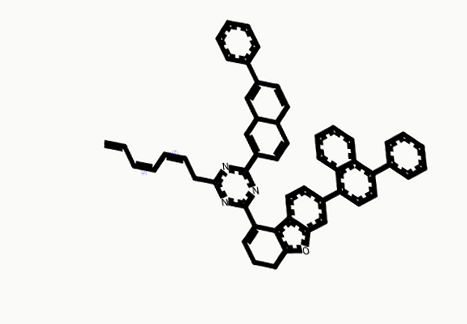 C=C/C=C\C=C/Cc1nc(C2=CC3C=C(c4ccccc4)C=CC3C=C2)nc(C2=CCCc3oc4cc(-c5ccc(-c6ccccc6)c6ccccc56)ccc4c32)n1